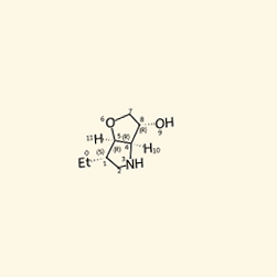 CC[C@H]1CN[C@H]2[C@@H]1OC[C@@H]2O